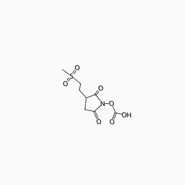 CS(=O)(=O)CCC1CC(=O)N(OC(=O)O)C1=O